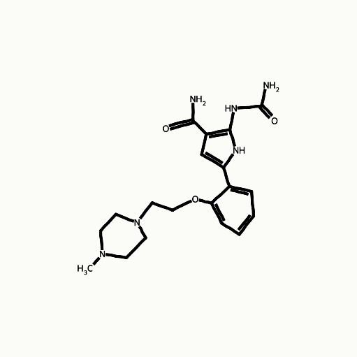 CN1CCN(CCOc2ccccc2-c2cc(C(N)=O)c(NC(N)=O)[nH]2)CC1